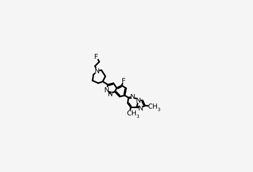 Cc1cn2nc(-c3cc(F)c4cc(C5CCCN(CCF)CC5)nnc4c3)cc(C)c2n1